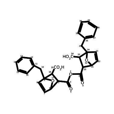 O=C(OC(=O)C1C2C=CC(Cc3ccccc3)(O2)C1C(=O)O)C1C2C=CC(Cc3ccccc3)(O2)C1C(=O)O